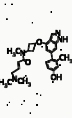 Cc1cc(O)ccc1-c1cc(O[C@H]2C[C@H](N(C)C(=O)/C=C/CN(C)C)C2)c2cn[nH]c2c1